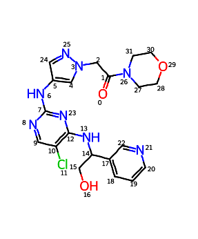 O=C(Cn1cc(Nc2ncc(Cl)c(NC(CO)c3cccnc3)n2)cn1)N1CCOCC1